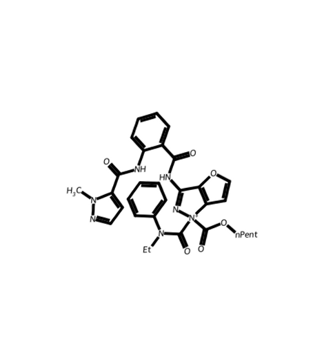 CCCCCOC(=O)[N+]1(C(=O)N(CC)c2ccccc2)N=C(NC(=O)c2ccccc2NC(=O)c2ccnn2C)c2occc21